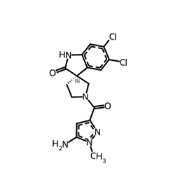 Cn1nc(C(=O)N2CC[C@]3(C2)C(=O)Nc2cc(Cl)c(Cl)cc23)cc1N